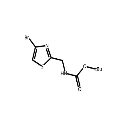 CC(C)(C)OC(=O)NCc1nc(Br)cs1